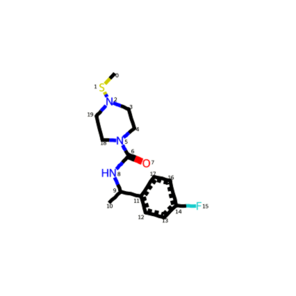 CSN1CCN(C(=O)NC(C)c2ccc(F)cc2)CC1